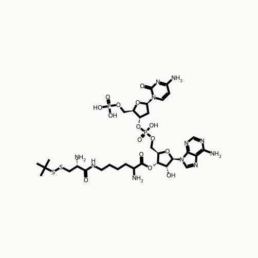 CC(C)(C)SSC[C@H](N)C(=O)NCCCCC(N)C(=O)O[C@H]1[C@@H](O)[C@H](n2cnc3c(N)ncnc32)O[C@@H]1COP(=O)(O)O[C@H]1C[C@H](n2ccc(N)nc2=O)O[C@@H]1COP(=O)(O)O